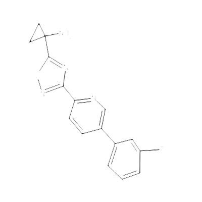 NC1(c2nc(-c3ccc(-c4cccc(F)c4)cn3)no2)CC1